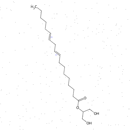 CCCCC/C=C/C/C=C/CCCCCCCC(=O)OC(CO)CO